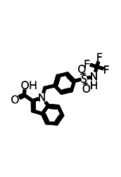 O=C(O)c1cc2ccccc2n1Cc1ccc(S(=O)(=O)NC(F)(F)F)cc1